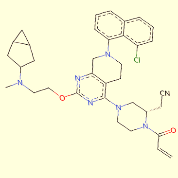 C=CC(=O)N1CCN(c2nc(OCCN(C)C3CC4CC4C3)nc3c2CCN(c2cccc4cccc(Cl)c24)C3)C[C@@H]1CC#N